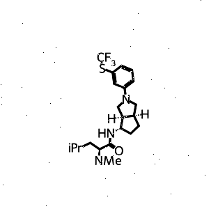 CN[C@@H](CC(C)C)C(=O)N[C@H]1CC[C@@H]2CN(c3cccc(SC(F)(F)F)c3)C[C@@H]21